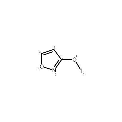 IOc1ccon1